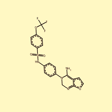 NC1=c2ccoc2=NCN1c1ccc(NS(=O)(=O)c2ccc(OC(F)(F)F)cc2)cc1